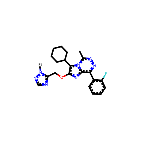 CCn1ncnc1COc1nc2c(-c3ccccc3F)nnc(C)n2c1C1CCCCC1